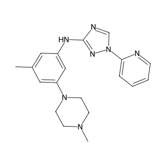 Cc1cc(Nc2ncn(-c3ccccn3)n2)cc(N2CCN(C)CC2)c1